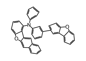 c1ccc(N(c2cccc(-c3ccc4oc5ccccc5c4c3)c2)c2cccc3oc4cc5ccccc5cc4c23)cc1